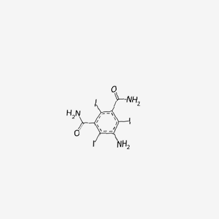 NC(=O)c1c(I)c(N)c(I)c(C(N)=O)c1I